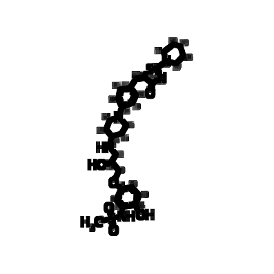 CS(=O)(=O)Nc1cc(OC[C@H](O)CNC2CCN(c3ccc(C=C4SC(N5CCCCC5)=NC4=O)cc3)CC2)ccc1O